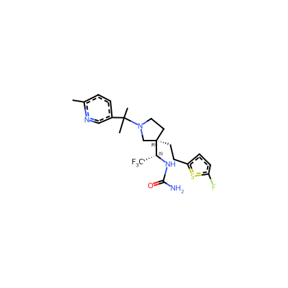 Cc1ccc(C(C)(C)N2CC[C@@](CCc3ccc(F)s3)([C@H](NC(N)=O)C(F)(F)F)C2)cn1